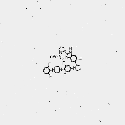 CCCC(=O)N1CCC[C@H]1c1nc2cc([C@H]3CCCN3c3cc(F)c(N4CCN(c5c(F)cccc5F)CC4)c(F)c3)c(F)cc2[nH]1